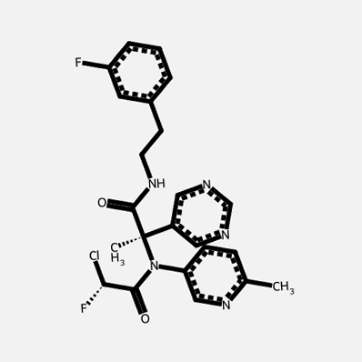 Cc1ccc(N(C(=O)[C@H](F)Cl)[C@@](C)(C(=O)NCCc2cccc(F)c2)c2cncnc2)cn1